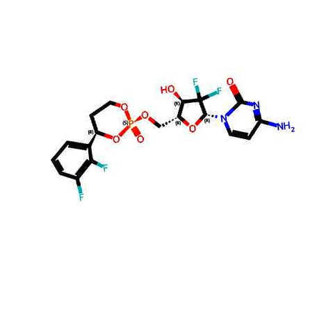 Nc1ccn([C@@H]2O[C@H](CO[P@]3(=O)OCC[C@H](c4cccc(F)c4F)O3)[C@@H](O)C2(F)F)c(=O)n1